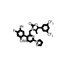 COc1cc(F)c(C(C)C)cc1-c1ccc(-n2cccn2)nc1CN1C(=O)OC(c2cc(C(F)(F)F)cc(C(F)(F)F)c2)C1C